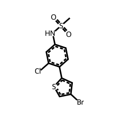 CS(=O)(=O)Nc1ccc(-c2cc(Br)cs2)c(Cl)c1